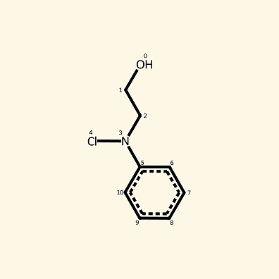 OCCN(Cl)c1ccccc1